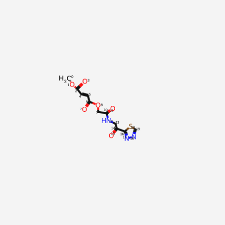 COC(=O)/C=C/C(=O)OCC(=O)NCC(=O)c1nncs1